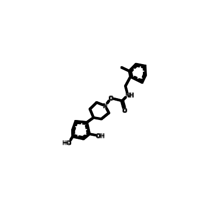 Cc1ccccc1CNC(=O)ON1CCC(c2ccc(O)cc2O)CC1